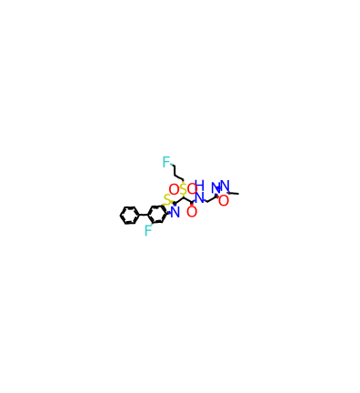 Cc1nnc(CNC(=O)C(c2nc3cc(F)c(-c4ccccc4)cc3s2)S(=O)(=O)CCCF)o1